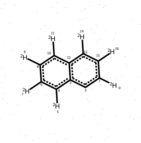 [2H]c1cc2c([2H])c([2H])c([2H])c([2H])c2c([2H])c1[2H]